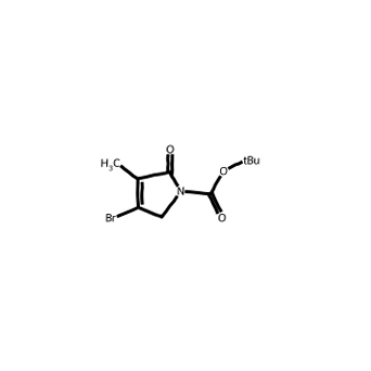 CC1=C(Br)CN(C(=O)OC(C)(C)C)C1=O